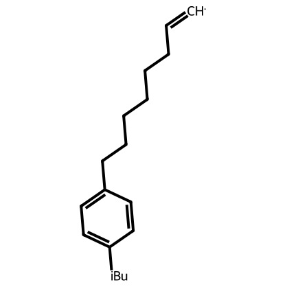 [CH]=CCCCCCCc1ccc(C(C)CC)cc1